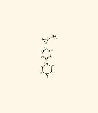 NC1CC1c1ccc(N2CCOCC2)cc1